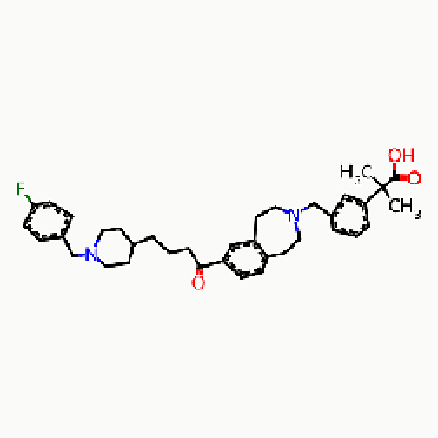 CC(C)(C(=O)O)c1cccc(CN2CCc3ccc(C(=O)CCCC4CCN(Cc5ccc(F)cc5)CC4)cc3CC2)c1